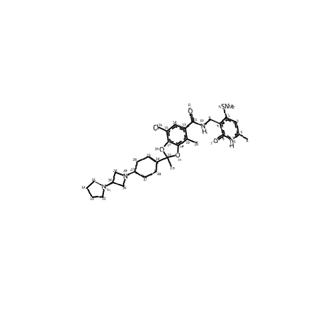 CSc1cc(C)[nH]c(=O)c1CNC(=O)c1cc(Cl)c2c(c1C)OC(C)(C1CCC(N3CC(N4CCCC4)C3)CC1)O2